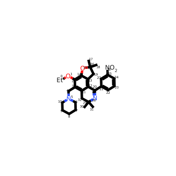 CCOc1c(CN2CCCCC2)c2c(c3c1OC(C)(C)C3)C(c1cccc([N+](=O)[O-])c1)=NC(C)(C)C2